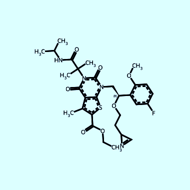 CCOC(=O)c1sc2c(c1C)c(=O)n(C(C)(C)C(=O)NC(C)C)c(=O)n2C[C@H](OCCC1C=N1)c1cc(F)ccc1OC